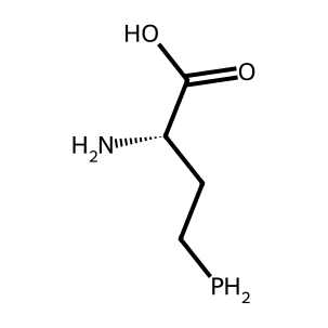 N[C@@H](CCP)C(=O)O